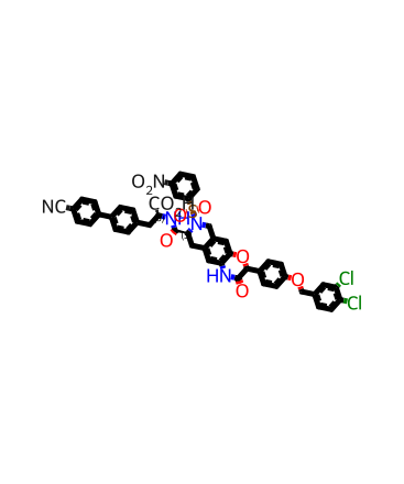 N#Cc1ccc(-c2ccc(C[C@H](NC(=O)[C@@H]3Cc4cc5c(cc4CN3S(=O)(=O)c3cccc([N+](=O)[O-])c3)OC(c3ccc(OCc4ccc(Cl)c(Cl)c4)cc3)C(=O)N5)C(=O)O)cc2)cc1